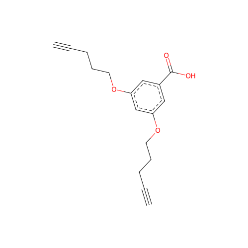 C#CCCCOc1cc(OCCCC#C)cc(C(=O)O)c1